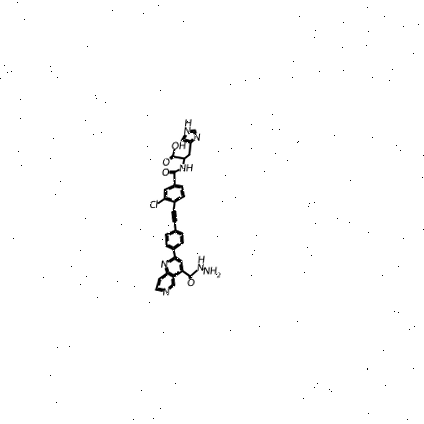 NNC(=O)c1cc(-c2ccc(C#Cc3ccc(C(=O)NC(Cc4c[nH]cn4)C(=O)O)cc3Cl)cc2)nc2ccncc12